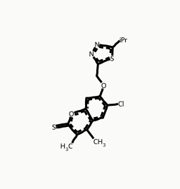 Cc1c(C)c2cc(Cl)c(OCc3nnc(C(C)C)s3)cc2oc1=S